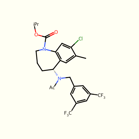 CC(=O)N(Cc1cc(C(F)(F)F)cc(C(F)(F)F)c1)[C@@H]1CCCN(C(=O)OC(C)C)c2cc(Cl)c(C)cc21